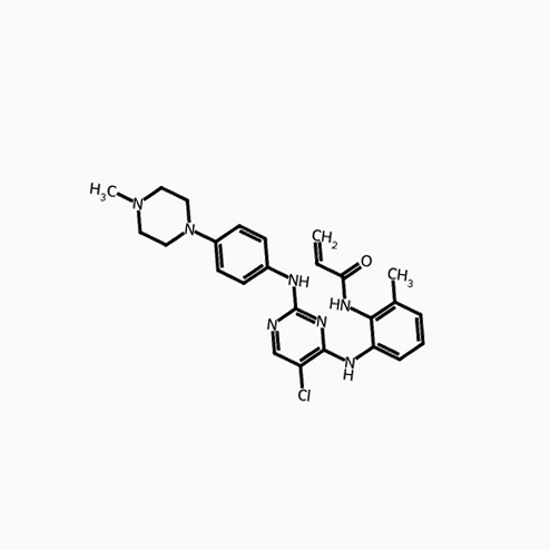 C=CC(=O)Nc1c(C)cccc1Nc1nc(Nc2ccc(N3CCN(C)CC3)cc2)ncc1Cl